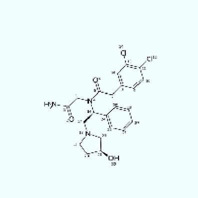 NC(=O)CN(C(=O)Cc1ccc(Cl)c(Cl)c1)[C@H](CN1CC[C@H](O)C1)c1ccccc1